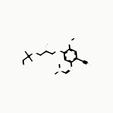 COc1cc(C#N)c(/N=C\N(C)C)cc1OC[C@@H](O)CNC(C)(C)CO